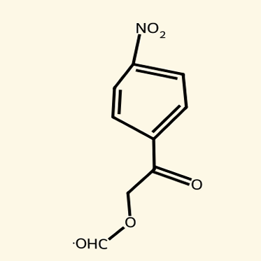 O=[C]OCC(=O)c1ccc([N+](=O)[O-])cc1